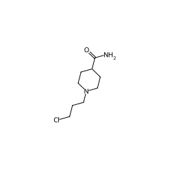 NC(=O)C1CCN(CCCCl)CC1